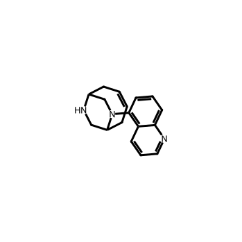 C1=C\CC2CNC(C/1)CN2c1cccc2ncccc12